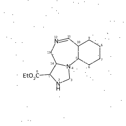 CCOC(=O)C1NCN2C3CCCCC3C=NCC12